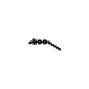 C=CCCCCCCCCOc1ccc(-c2ccc(C(=O)OC(C)C(=O)OCC)cc2)cc1